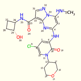 CNc1cc(Nc2cc(Cl)cn(C3CCOCC3)c2=O)nc2c(C(=O)NC3CC[C@H]3O)cnn12